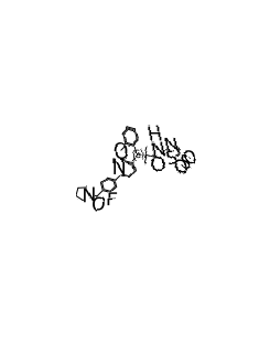 CC(C)(C(=O)Nc1ncc(S(C)(=O)=O)s1)[C@H]1c2ccccc2Oc2nc(-c3ccc(C(=O)N4CCCC4)c(F)c3)ccc21